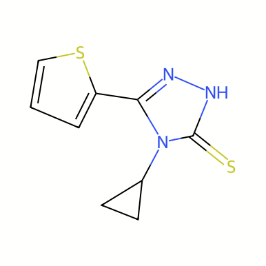 S=c1[nH]nc(-c2cccs2)n1C1CC1